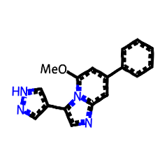 COc1cc(-c2ccccc2)cc2ncc(-c3cn[nH]c3)n12